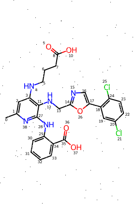 Cc1cc(NCCCC(=O)O)c(NCc2ncc(-c3cc(Cl)ccc3Cl)o2)c(Nc2ccccc2C(=O)O)n1